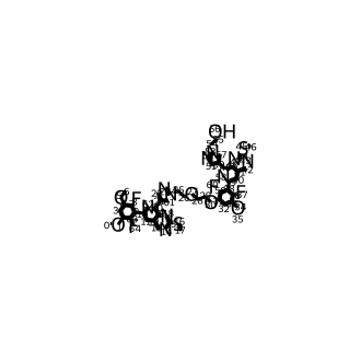 COc1cc(OC)c(F)c(-c2cc3cnc(SC)nc3c(-c3cnn(CCOCCOc4cc(OC)c(F)c(-c5cc6cnc(SC)nc6c(-c6cnn(CCO)c6)n5)c4F)c3)n2)c1F